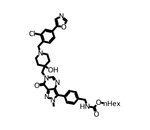 CCCCCCOC(=O)NCc1ccc(-c2c3ncn(CC4(O)CCN(Cc5ccc(-c6cnco6)cc5Cl)CC4)c(=O)c3nn2C)cc1